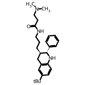 CN(C)CCC(=O)NCCC[C@@H]1Cc2cc(C(C)(C)C)ccc2N[C@H]1c1ccccc1